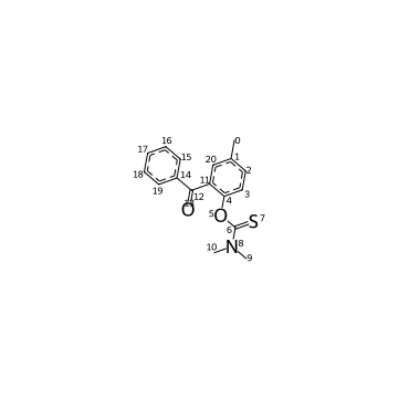 Cc1ccc(OC(=S)N(C)C)c(C(=O)c2ccccc2)c1